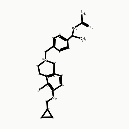 CC(=O)NC(C)c1ccc(CN2CCc3c(ccc(OCC4CC4)c3F)C2)cc1